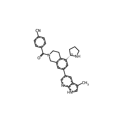 Cc1c[nH]c2ncc(-c3cc4c(c([C@@H]5CCCN5)c3)CCN(C(=O)c3ccc(C#N)cc3)C4)cc12